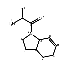 C[C@H](N)C(=O)N1CCC2CCC=CC21